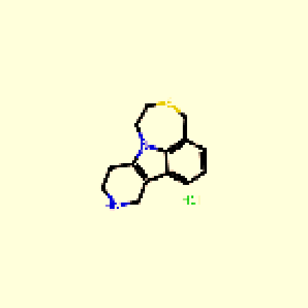 Cl.c1cc2c3c(c1)c1c(n3CCSC2)CCNC1